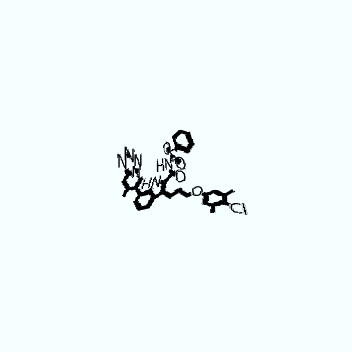 Cc1cc2nnnn2cc1-c1cccc2c(CCCOc3cc(C)c(Cl)c(C)c3)c(C(=O)NS(=O)(=O)c3ccccc3)[nH]c12